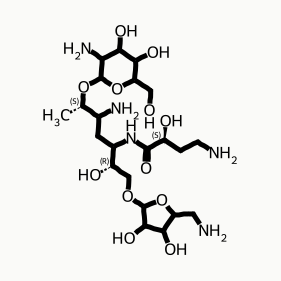 C[C@H](OC1OC(CO)C(O)C(O)C1N)C(N)CC(NC(=O)[C@@H](O)CCN)[C@@H](O)COC1OC(CN)C(O)C1O